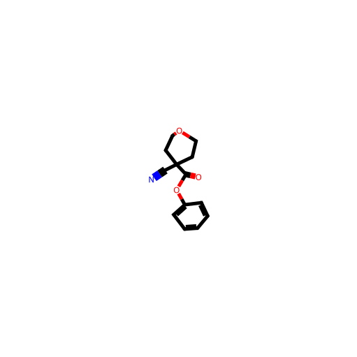 N#CC1(C(=O)Oc2ccccc2)CCOCC1